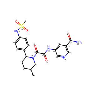 C[C@H]1CCC(c2ccc(NS(C)(=O)=O)cc2)N(C(=O)C(=O)Nc2cncc(C(N)=O)c2)C1